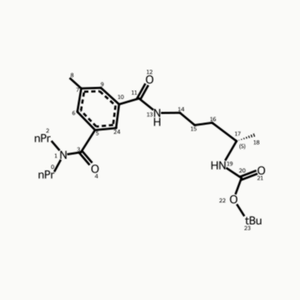 CCCN(CCC)C(=O)c1cc(C)cc(C(=O)NCCC[C@H](C)NC(=O)OC(C)(C)C)c1